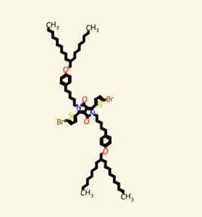 CCCCCCCCCCC(CCCCCCCC)COc1ccc(CCCCCN2C(=O)C3=C(c4ccc(Br)s4)N(CCCCCc4ccc(OCC(CCCCCCCC)CCCCCCCCCC)cc4)C(=O)C3=C2c2ccc(Br)s2)cc1